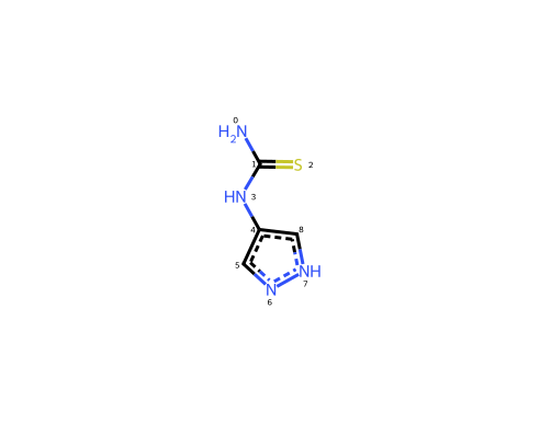 NC(=S)Nc1cn[nH]c1